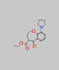 CCOC(=O)C1CCOc2c(cccc2N2CCCC2)C1=O